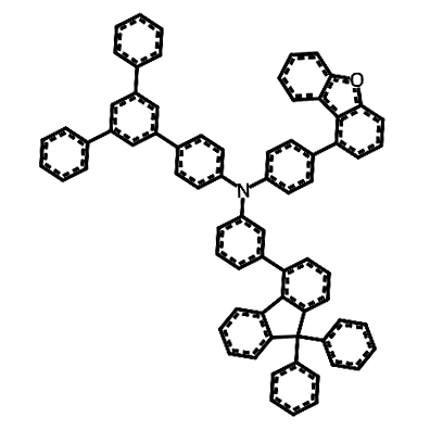 c1ccc(-c2cc(-c3ccccc3)cc(-c3ccc(N(c4ccc(-c5cccc6oc7ccccc7c56)cc4)c4cccc(-c5cccc6c5-c5ccccc5C6(c5ccccc5)c5ccccc5)c4)cc3)c2)cc1